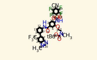 CN(CCOc1cc(C(=O)Nc2cccc(-c3cc4ncn(C)c4cc3C(F)(F)F)c2)ccc1NS(=O)(=O)c1c(F)c(F)c(C#N)c(F)c1F)C(=O)OC(C)(C)C